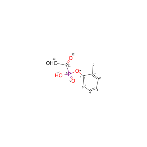 Cc1ccccc1OP(=O)(O)C(=O)C=O